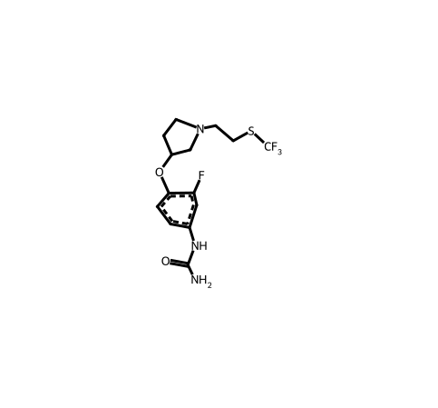 NC(=O)Nc1ccc(OC2CCN(CCSC(F)(F)F)C2)c(F)c1